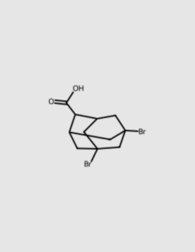 O=C(O)C1C2CC3(Br)CC1CC(Br)(C2)C3